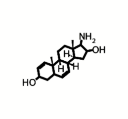 C[C@]12C=CC(O)CC1C=C[C@@H]1[C@H]2CC[C@]2(C)C(N)C(O)C[C@@H]12